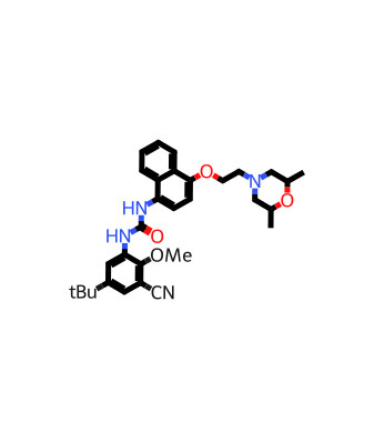 COc1c(C#N)cc(C(C)(C)C)cc1NC(=O)Nc1ccc(OCCN2CC(C)OC(C)C2)c2ccccc12